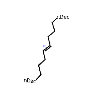 CCCCCCCCCCCCC/C=C/CCCCCCCCCCCCC